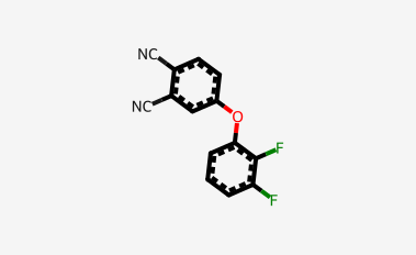 N#Cc1ccc(Oc2cccc(F)c2F)cc1C#N